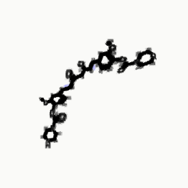 COc1cc(/C=C/C(=O)CC(=O)/C=C/c2ccc(OC(=O)N3CCOCC3)c(OC)c2)ccc1OC(=O)N1CCNCC1